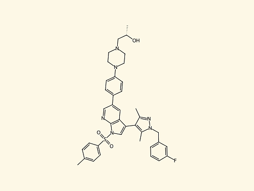 Cc1ccc(S(=O)(=O)n2cc(-c3c(C)nn(Cc4cccc(F)c4)c3C)c3cc(-c4ccc(N5CCN(C[C@H](C)O)CC5)cc4)cnc32)cc1